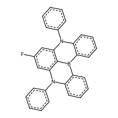 Fc1cc2c3c(c1)N(c1ccccc1)c1ccccc1B3c1ccccc1N2c1ccccc1